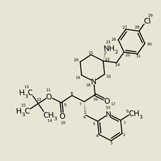 Cc1cccc(C[C@H](CC(=O)OC(C)(C)C)C(=O)N2CCC[C@@](N)(Cc3ccc(Cl)cc3)C2)n1